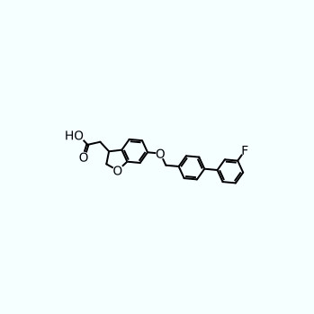 O=C(O)CC1COc2cc(OCc3ccc(-c4cccc(F)c4)cc3)ccc21